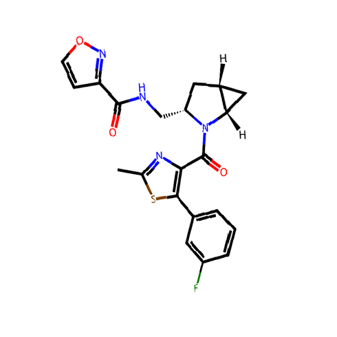 Cc1nc(C(=O)N2[C@H](CNC(=O)c3ccon3)C[C@@H]3C[C@@H]32)c(-c2cccc(F)c2)s1